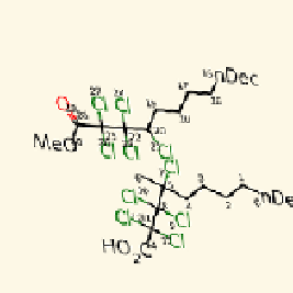 CCCCCCCCCCCCCCC(C)(Cl)C(Cl)(Cl)C(Cl)(Cl)C(=O)O.CCCCCCCCCCCCCCC(Cl)C(Cl)(Cl)C(Cl)(Cl)C(=O)OC